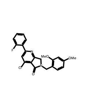 COc1ccc(CN2Cc3nc(-c4ccccc4F)cc(Cl)c3C2=O)c(OC)c1